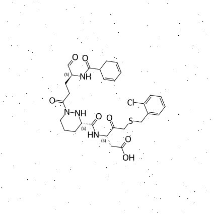 O=C[C@H](CCC(=O)N1CCC[C@@H](C(=O)N[C@@H](CC(=O)O)C(=O)CSCc2ccccc2Cl)N1)NC(=O)C1C=CC=CC1